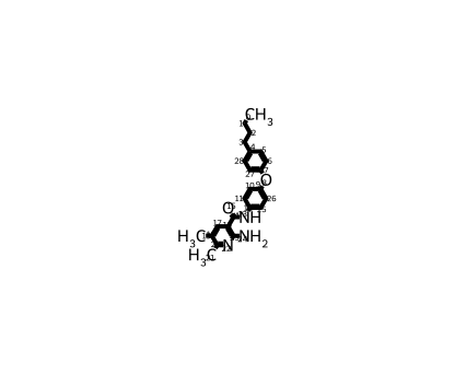 CCCCc1ccc(Oc2ccc(NC(=O)c3cc(C)c(C)nc3N)cc2)cc1